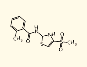 Cc1ccccc1C(=O)NC1NC(S(C)(=O)=O)=CS1